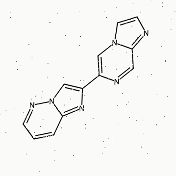 c1cnn2cc(-c3cn4ccnc4cn3)nc2c1